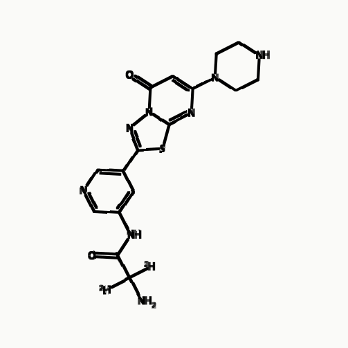 [2H]C([2H])(N)C(=O)Nc1cncc(-c2nn3c(=O)cc(N4CCNCC4)nc3s2)c1